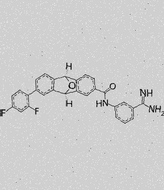 N=C(N)c1cccc(NC(=O)c2ccc3c(c2)[C@@H]2O[C@H]3c3ccc(-c4ccc(F)cc4F)cc32)c1